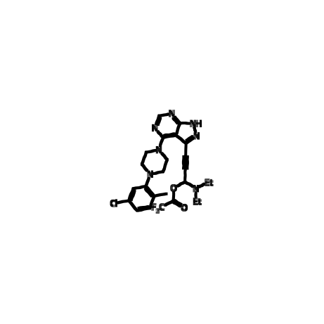 CCN(CC)C(C#Cc1n[nH]c2ncnc(N3CCN(c4cc(Cl)ccc4C)CC3)c12)OC(=O)C(F)(F)F